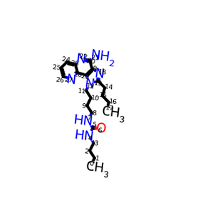 CCCCNC(=O)NCCCCn1c(CCCC)nc2c(N)nc3cccnc3c21